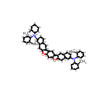 Cc1ccccc1N(c1ccc2cc3c(cc2c1)oc1cc2oc4cc5cc(N(c6ccccc6C)c6ccccc6C(C)(C)C)ccc5cc4c2cc13)c1ccccc1C(C)(C)C